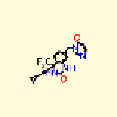 O=C1Nc2cc(Cn3cnccc3=O)ccc2C(C#CC2CC2)(C(F)(F)F)N1